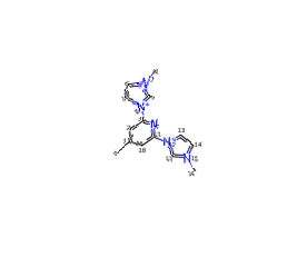 Cc1cc(-[n+]2ccn(C)c2)nc(-[n+]2ccn(C)c2)c1